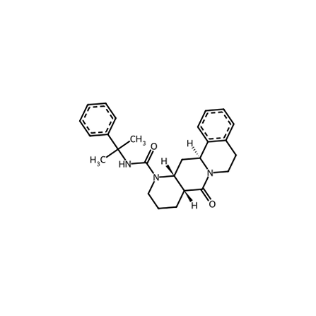 CC(C)(NC(=O)N1CCC[C@H]2C(=O)N3CCc4ccccc4[C@@H]3C[C@H]21)c1ccccc1